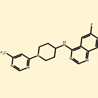 Fc1ccc2ncnc(NC3CCN(c4cc(C(F)(F)F)ncn4)CC3)c2c1